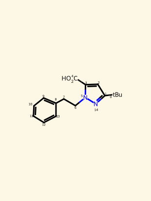 CC(C)(C)c1cc(C(=O)O)n(CCc2ccccc2)n1